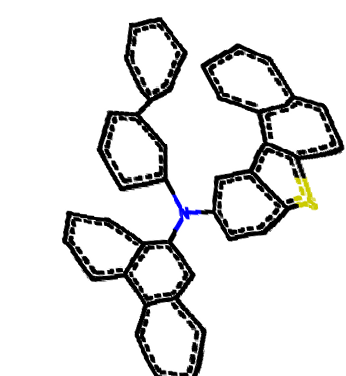 c1ccc(-c2cccc(N(c3ccc4sc5ccc6ccccc6c5c4c3)c3cc4ccccc4c4ccccc34)c2)cc1